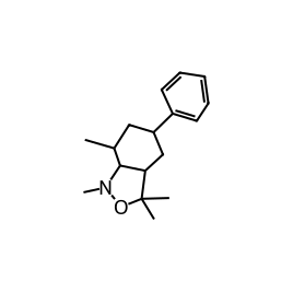 CC1CC(c2ccccc2)CC2C1N(C)OC2(C)C